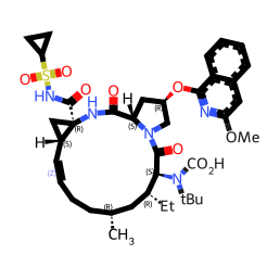 CC[C@@H]1C[C@H](C)CC/C=C\[C@@H]2C[C@@]2(C(=O)NS(=O)(=O)C2CC2)NC(=O)[C@@H]2C[C@@H](Oc3nc(OC)cc4ccccc34)CN2C(=O)[C@H]1N(C(=O)O)C(C)(C)C